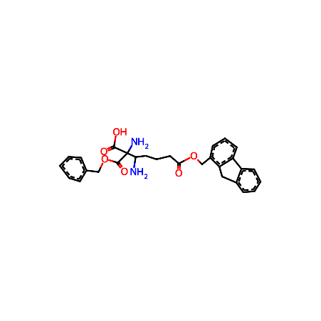 NC(CCCC(=O)OCc1cccc2c1Cc1ccccc1-2)C(N)(C(=O)O)C(=O)OCc1ccccc1